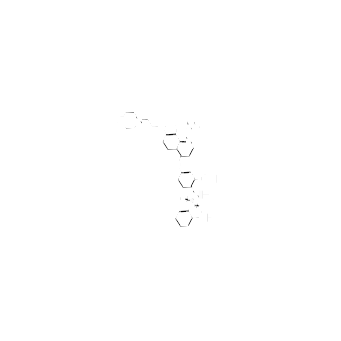 COc1c(OCCN2CCOCC2)ccc2c(Oc3ccc(NS(=O)(=O)c4ccccc4C(F)(F)F)c(C)c3)ccnc12